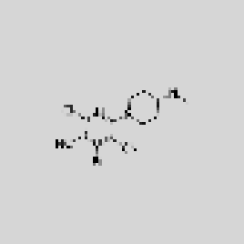 CCc1c(C#N)c(Cl)nc(N2CCC(N(C)C)CC2)c1C#N